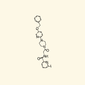 O=C(NCC(=O)N1CCN(c2ccc(OCc3ccccc3)cn2)CC1)c1cccc(I)n1